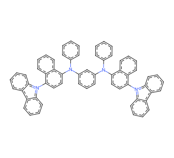 c1ccc(N(c2cccc(N(c3ccccc3)c3ccc(-n4c5ccccc5c5ccccc54)c4ccccc34)c2)c2ccc(-n3c4ccccc4c4ccccc43)c3ccccc23)cc1